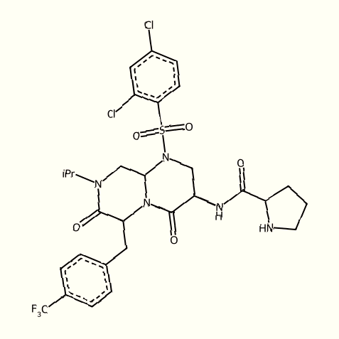 CC(C)N1CC2N(C(=O)C(NC(=O)C3CCCN3)CN2S(=O)(=O)c2ccc(Cl)cc2Cl)C(Cc2ccc(C(F)(F)F)cc2)C1=O